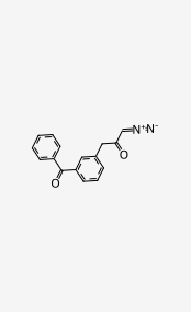 [N-]=[N+]=CC(=O)Cc1cccc(C(=O)c2ccccc2)c1